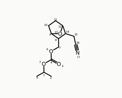 CC(C)OC(=O)OCC1C2CCC(O2)C1CC#N